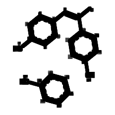 CC(=Cc1ccc(O)cc1)c1ccc(O)cc1.Oc1ccccc1